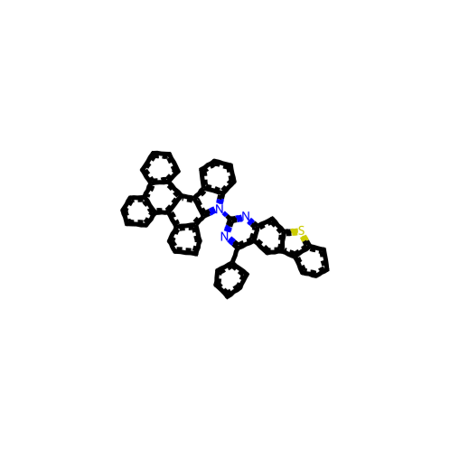 c1ccc(-c2nc(-n3c4ccccc4c4c5c6ccccc6c6ccccc6c5c5ccccc5c43)nc3cc4sc5ccccc5c4cc23)cc1